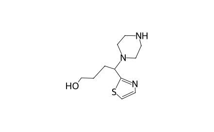 OCCCC(c1nccs1)N1CCNCC1